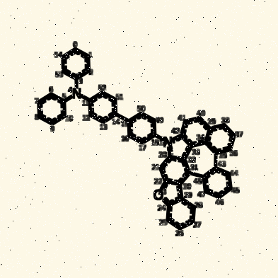 c1ccc(N(c2ccccc2)c2ccc(-c3ccc(-n4c5cc6oc7ccccc7c6c6c5c5c7c(cccc7ccc54)-c4ccccc4-6)cc3)cc2)cc1